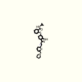 O=C(NC1CC1)c1ccccc1Sc1ccc2c(/C=C/c3cccc(CN4CCCC4)n3)n[nH]c2c1